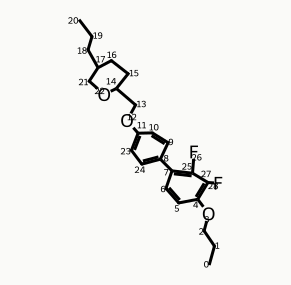 CCCOc1ccc(-c2ccc(OCC3CCC(CCC)CO3)cc2)c(F)c1F